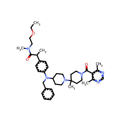 CCOCCN(C)C(=O)C(C)c1ccc(N(Cc2ccccc2)C2CCN(C3(C)CCN(C(=O)c4c(C)ncnc4C)CC3)CC2)cc1